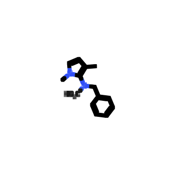 Cc1ccn(C)c1N(Cc1ccccc1)C(=O)O